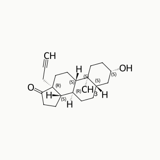 C#CC[C@]12CC[C@H]3[C@@H](CC[C@H]4C[C@@H](O)CC[C@@]43C)[C@@H]1CCC2=O